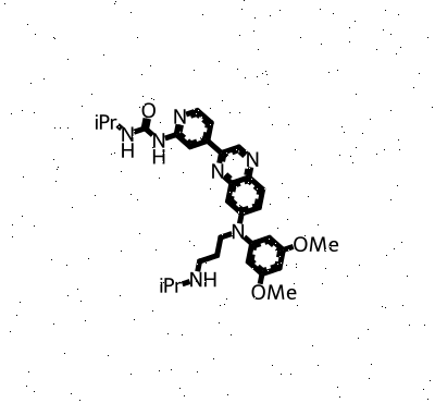 COc1cc(OC)cc(N(CCCNC(C)C)c2ccc3ncc(-c4ccnc(NC(=O)NC(C)C)c4)nc3c2)c1